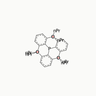 CCCOc1cccc(OCCC)c1P(c1c(OCCC)cccc1OCCC)c1c(OCCC)cccc1OCCC